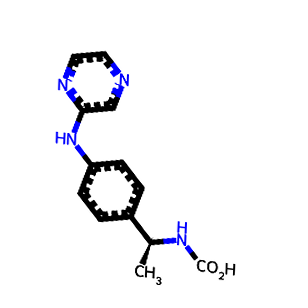 C[C@H](NC(=O)O)c1ccc(Nc2cnccn2)cc1